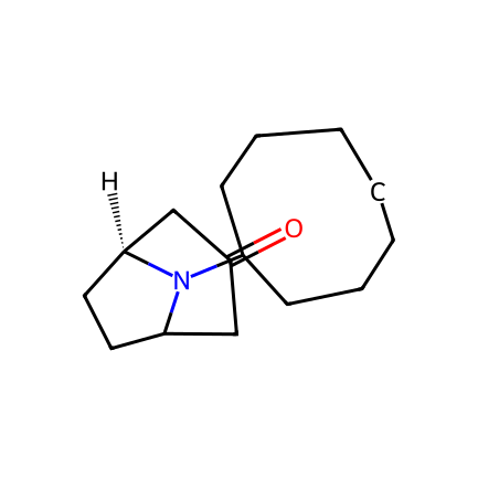 O=C1CC2CC[C@@H](C1)N2C1CCCCCCC1